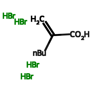 Br.Br.Br.Br.C=C(CCCC)C(=O)O